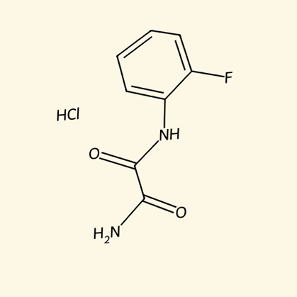 Cl.NC(=O)C(=O)Nc1ccccc1F